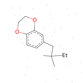 CCC(C)(C)Cc1ccc2c(c1)OCCO2